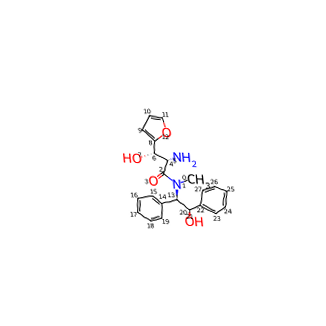 CN(C(=O)[C@@H](N)[C@H](O)c1ccco1)[C@H](c1ccccc1)[C@H](O)c1ccccc1